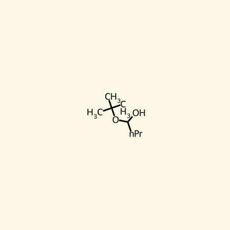 CCCC(O)OC(C)(C)C